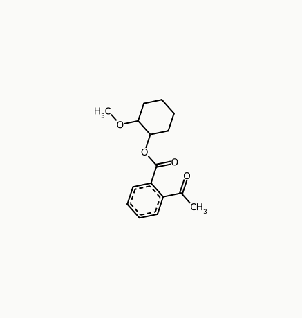 COC1CCCCC1OC(=O)c1ccccc1C(C)=O